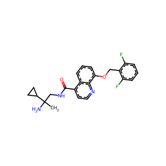 CC(N)(CNC(=O)c1ccnc2c(OCc3c(F)cccc3F)cccc12)C1CC1